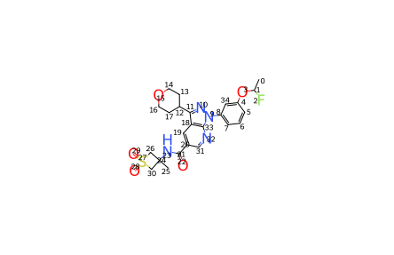 CC(F)Oc1cccc(-n2nc(C3CCOCC3)c3cc(C(=O)NC4(C)CS(=O)(=O)C4)cnc32)c1